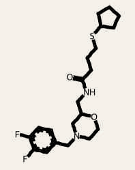 O=C(CCCSC1CCCC1)NCC1CN(Cc2ccc(F)c(F)c2)CCO1